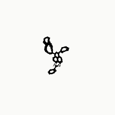 c1ccc(-c2nc3ccc4c(-c5ccccc5)cc(-c5ccc6ccccc6c5)c5ccc(n2)c3c45)cc1